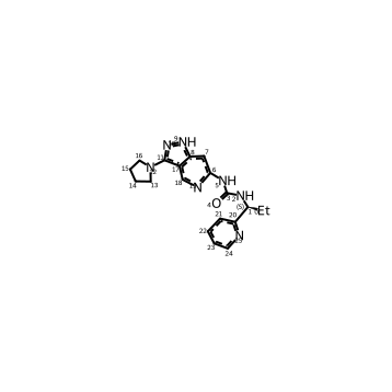 CC[C@H](NC(=O)Nc1cc2[nH]nc(N3CCCC3)c2cn1)c1ccccn1